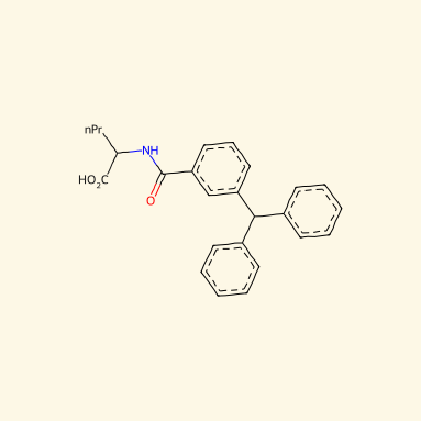 CCCC(NC(=O)c1cccc(C(c2ccccc2)c2ccccc2)c1)C(=O)O